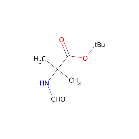 CC(C)(C)OC(=O)C(C)(C)NC=O